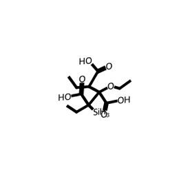 CCOC(C(=O)O)(C(CC)C(=O)O)C([SiH3])(CC)C(=O)O